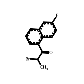 CC(Br)C(=O)c1cccc2cc(F)ccc12